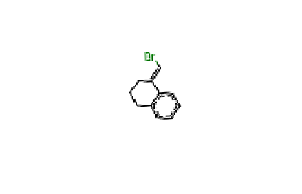 BrC=C1CCCc2ccccc21